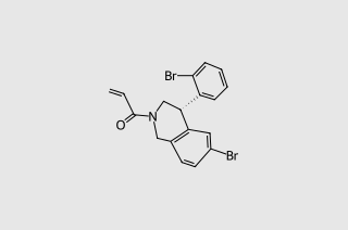 C=CC(=O)N1Cc2ccc(Br)cc2[C@@H](c2ccccc2Br)C1